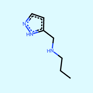 CCCNCc1ccn[nH]1